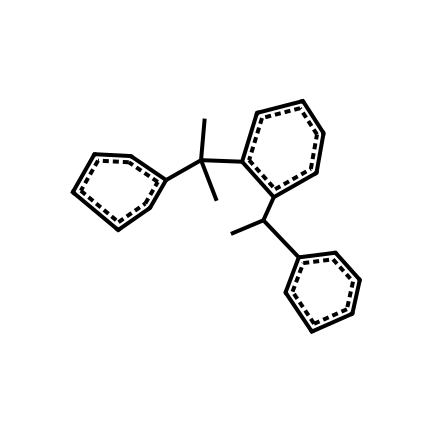 CC(c1ccccc1)c1ccccc1C(C)(C)c1ccccc1